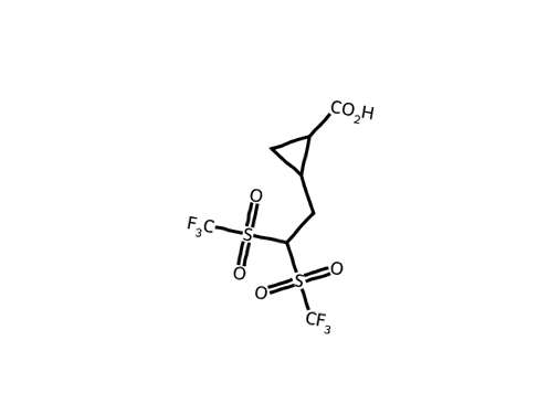 O=C(O)C1CC1CC(S(=O)(=O)C(F)(F)F)S(=O)(=O)C(F)(F)F